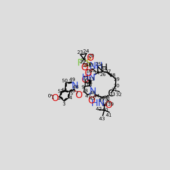 COc1ccc2c(O[C@@H]3C[C@H]4C(=O)N[C@]5(C(=O)NS(=O)(=O)C6(F)CC6)C[C@H]5C=CCC[C@@H](C)C[C@@H](C)[C@H](NC(=O)C(C)(C)C)C(=O)N4C3)nccc2c1